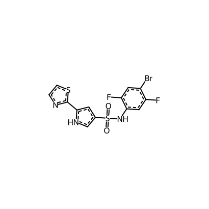 O=S(=O)(Nc1cc(F)c(Br)cc1F)c1c[nH]c(-c2nccs2)c1